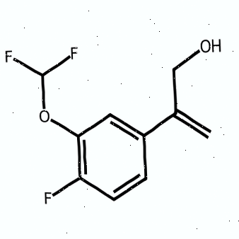 C=C(CO)c1ccc(F)c(OC(F)F)c1